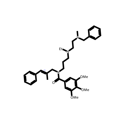 CCN(CCCN(C/C(C)=C/c1ccccc1)C(=O)c1cc(OC)c(OC)c(OC)c1)CCN(C)Cc1ccccc1